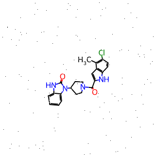 Cc1c(Cl)ccc2[nH]c(C(=O)N3CCC(n4c(=O)[nH]c5ccccc54)CC3)cc12